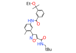 CCOC(C)(C)c1cccc(C(=O)Nc2ccc(C)c(-c3cc(C(=O)NCC(C)(C)C)on3)c2)c1